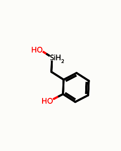 O[SiH2]Cc1ccccc1O